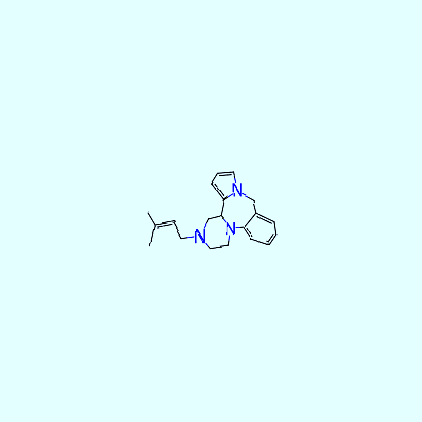 CC(C)=CCN1CCN2c3ccccc3Cn3cccc3C2C1